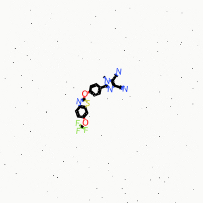 Cn1c(-c2ccc(Oc3nc4ccc(OC(F)(F)F)cc4s3)cc2)nc(C#N)c1C#N